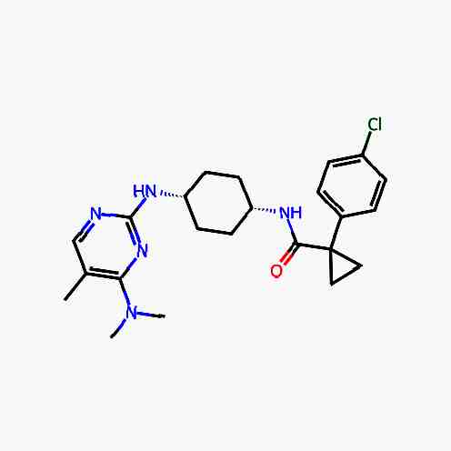 Cc1cnc(N[C@H]2CC[C@@H](NC(=O)C3(c4ccc(Cl)cc4)CC3)CC2)nc1N(C)C